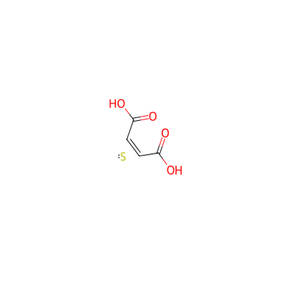 O=C(O)/C=C\C(=O)O.[S]